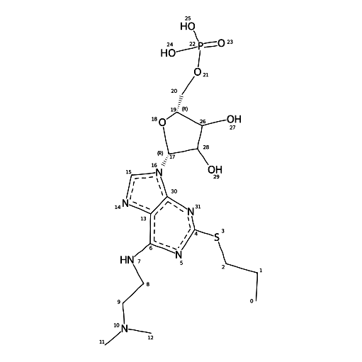 CCCSc1nc(NCCN(C)C)c2ncn([C@@H]3O[C@H](COP(=O)(O)O)C(O)C3O)c2n1